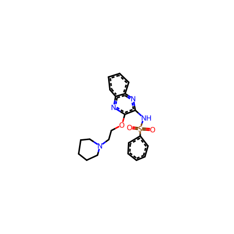 O=S(=O)(Nc1nc2ccccc2nc1OCCN1CCCCC1)c1ccccc1